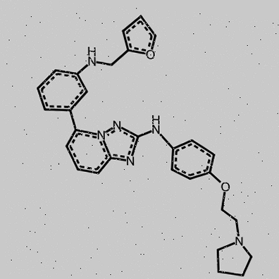 c1cc(NCc2ccco2)cc(-c2cccc3nc(Nc4ccc(OCCN5CCCC5)cc4)nn23)c1